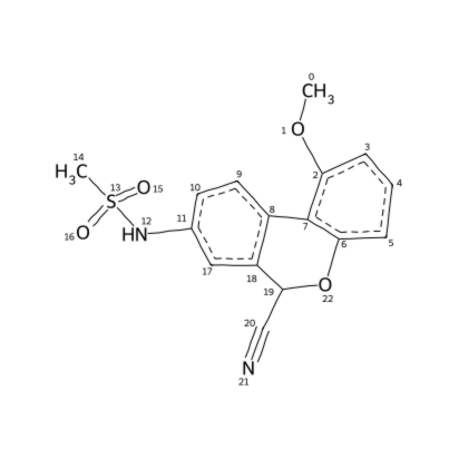 COc1cccc2c1-c1ccc(NS(C)(=O)=O)cc1C(C#N)O2